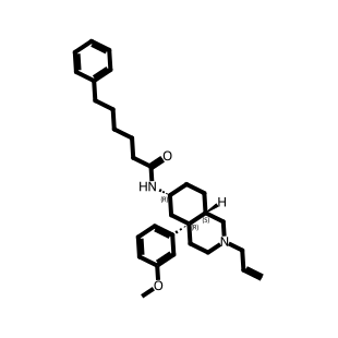 C=CCN1CC[C@@]2(c3cccc(OC)c3)C[C@H](NC(=O)CCCCCc3ccccc3)CC[C@@H]2C1